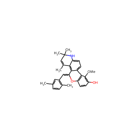 COc1c(O)ccc2c1-c1ccc3c(c1/C(=C/c1cc(C)ccc1C)O2)C(C)=CC(C)(C)N3